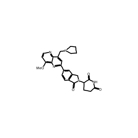 COc1ccnc2c(CN3CCCC3)cc(-c3ccc4c(c3)CN(C3CCC(=O)NC3=O)C4=O)nc12